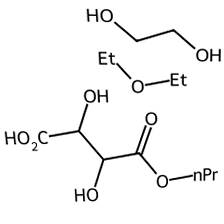 CCCOC(=O)C(O)C(O)C(=O)O.CCOCC.OCCO